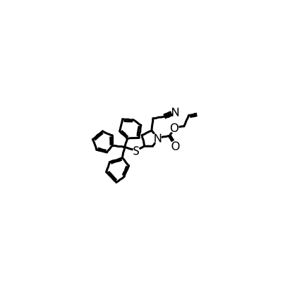 C=CCOC(=O)N1CC(SC(c2ccccc2)(c2ccccc2)c2ccccc2)CC1CC#N